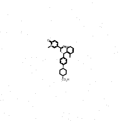 CC1=C([C@@H](C/C(=N\O)c2ccc(=O)n(C)c2)c2ccc([C@H]3CC[C@@H](C(=O)O)CC3)cc2)CCC=C1